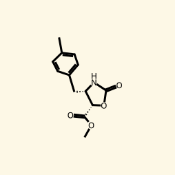 COC(=O)[C@H]1OC(=O)N[C@H]1Cc1ccc(C)cc1